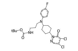 CC(C)(C)OC(=O)NCCCN(c1ccc(F)cc1)C1CCC(n2ncc(Cl)c(Cl)c2=O)CC1